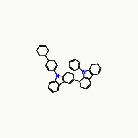 C1=Cc2c3c(n(-c4ccccc4)c2CC1)C(C1=Cc2c(n(C4=CCC(C5CC=CCC5)C=C4)c4ccccc24)CC1)CC=C3